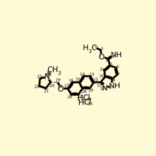 CCOC(=N)c1ccc2[nH]nc(-c3ccc4cc(OC[C@@H]5CCCN5C)ccc4c3)c2c1.Cl.Cl